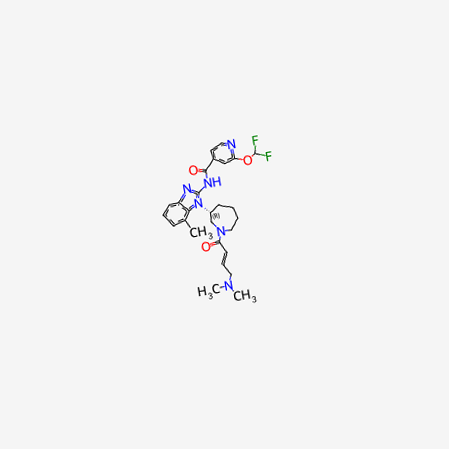 Cc1cccc2nc(NC(=O)c3ccnc(OC(F)F)c3)n([C@@H]3CCCCN(C(=O)C=CCN(C)C)C3)c12